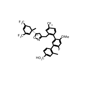 COc1cc(F)c(-c2ccc(C(=O)O)cc2C)cc1-c1ccc(C(F)(F)F)cc1CC1=NO[C@H](C2(C)C=C(C(F)(F)F)C=C(C(F)(F)F)C2)C1